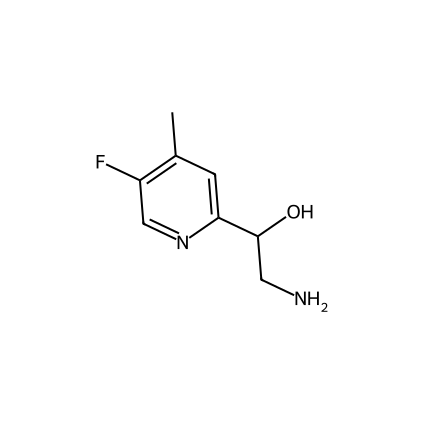 Cc1cc(C(O)CN)ncc1F